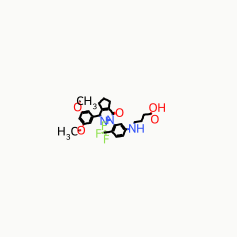 COc1cc(OC)cc(-c2nn(-c3cc(NCCCC(=O)O)ccc3C(F)(F)F)c(=O)c3c2CCC3)c1